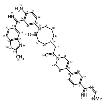 CN/C=N\C(=N)c1ccc(C2=CCN(C(=O)CN3CCCN(c4ccc(N)c(C(=N)c5ccc6oc(C)nc6c5)c4)C(=O)CC3)CC2)cc1